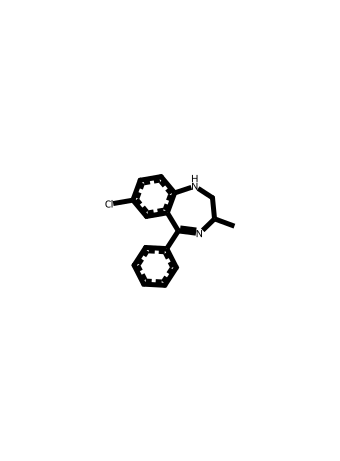 CC1CNc2ccc(Cl)cc2C(c2ccccc2)=N1